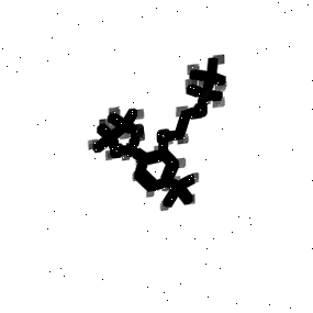 CC(C)(C)c1ccc(B2OC(C)(C)C(C)(C)O2)c(OCCO[Si](C)(C)C(C)(C)C)c1